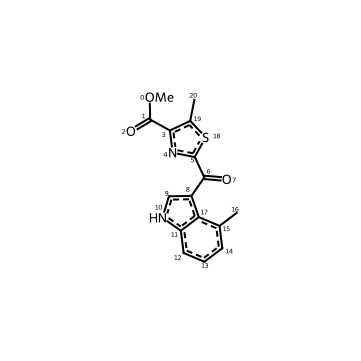 COC(=O)c1nc(C(=O)c2c[nH]c3cccc(C)c23)sc1C